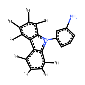 [2H]c1c([2H])c([2H])c2c(c1[2H])c1c([2H])c([2H])c([2H])c([2H])c1n2-c1cccc(N)c1